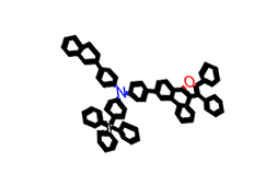 c1ccc(-c2oc3c4ccc(-c5ccc(N(c6ccc(-c7ccc8ccccc8c7)cc6)c6ccc([Si](c7ccccc7)(c7ccccc7)c7ccccc7)cc6)cc5)cc4c4ccccc4c3c2-c2ccccc2)cc1